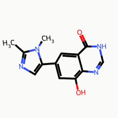 Cc1ncc(-c2cc(O)c3nc[nH]c(=O)c3c2)n1C